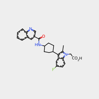 Cc1c(C2CCC(NC(=O)c3cnc4ccccc4c3)CC2)c2cc(F)ccc2n1CC(=O)O